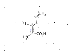 C=CC/C(I)=C(/C)C(=O)O